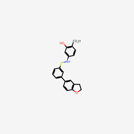 O=C(O)c1ccc(NSc2cccc(-c3ccc4c(c3)CCO4)c2)cc1O